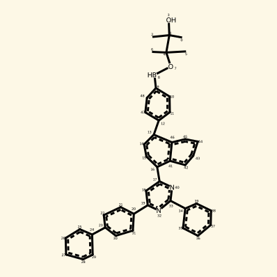 CC(C)(O)C(C)(C)OBc1ccc(-c2ccc(-c3cc(-c4ccc(-c5ccccc5)cc4)nc(-c4ccccc4)n3)c3ccccc23)cc1